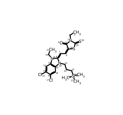 CCN1C(=O)C(=CC=C2N(CC)c3cc(Cl)c(Cl)cc3N2CCC[Si](C)(C)C)SC1=S